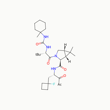 CC(=O)C(=O)[C@H](CC1(F)CCC1)NC(=O)[C@@H]1[C@@H]2[C@H](CN1C(=O)[C@@H](NC(=O)NC1(C)CCCCC1)C(C)(C)C)C2(C)C